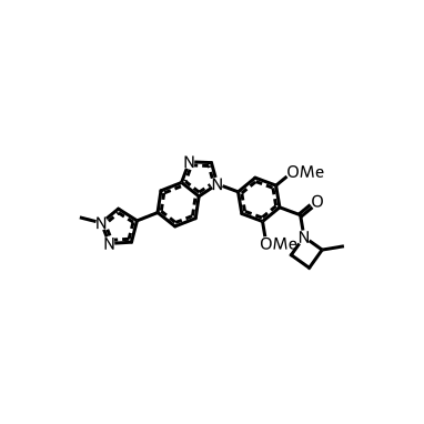 COc1cc(-n2cnc3cc(-c4cnn(C)c4)ccc32)cc(OC)c1C(=O)N1CCC1C